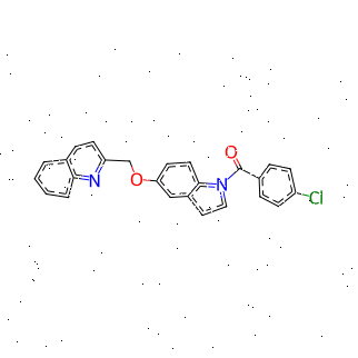 O=C(c1ccc(Cl)cc1)n1ccc2cc(OCc3ccc4ccccc4n3)ccc21